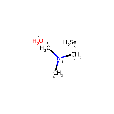 CN(C)C.O.[SeH2]